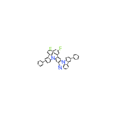 N#Cc1cc(-n2c3ccccc3c3cc(-c4ccccc4)ccc32)c(-c2cc(F)cc(F)c2)cc1-n1c2ccccc2c2cc(-c3ccccc3)ccc21